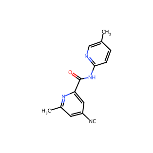 [C-]#[N+]c1cc(C)nc(C(=O)Nc2ccc(C)cn2)c1